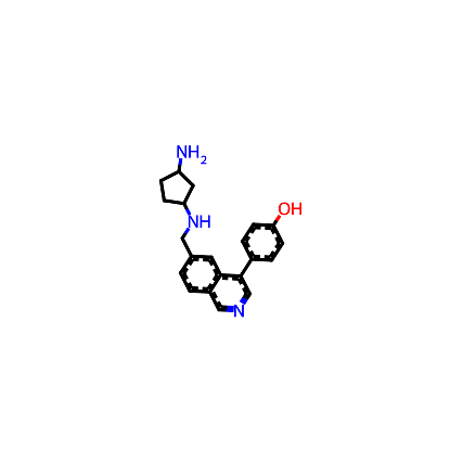 NC1CCC(NCc2ccc3cncc(-c4ccc(O)cc4)c3c2)C1